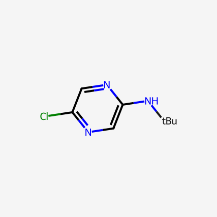 CC(C)(C)Nc1cnc(Cl)cn1